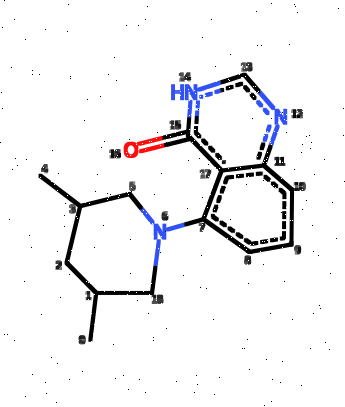 CC1CC(C)CN(c2cccc3nc[nH]c(=O)c23)C1